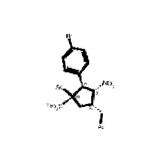 CCOC(=O)[C@]1(C(C)=O)C[C@@H](CC(C)=O)[C@@H]([N+](=O)[O-])[C@@H]1c1ccc(Br)cc1